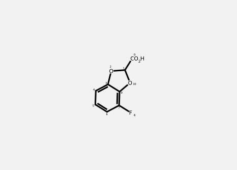 O=C(O)C1Oc2cccc(F)c2O1